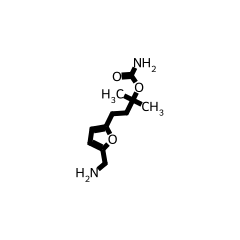 CC(C)(CCc1ccc(CN)o1)OC(N)=O